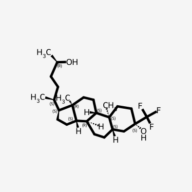 C[C@@H](O)CC[C@H](C)[C@@H]1CC[C@H]2[C@@H]3CC[C@H]4C[C@](O)(C(F)(F)F)CC[C@]4(C)[C@H]3CC[C@@]21C